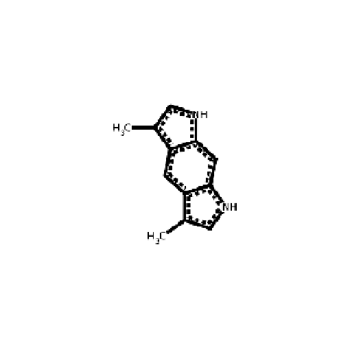 Cc1c[nH]c2cc3[nH]cc(C)c3cc12